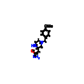 COc1ccc(CN2CCNC(CC(N)=O)C2)cc1